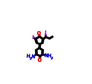 CCC(I)C1=CC(=C2C=C(N)C(=O)C(N)=C2)C=C(I)C1=O